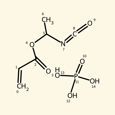 C=CC(=O)OC(C)N=C=O.O=P(O)(O)O